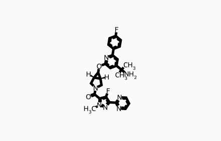 Cn1nc(-c2ncccn2)c(F)c1C(=O)N1C[C@@H]2C(Oc3cc(C(C)(C)N)cc(-c4ccc(F)cc4)n3)[C@@H]2C1